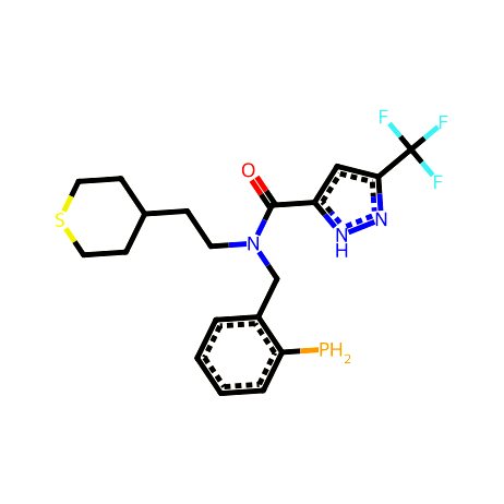 O=C(c1cc(C(F)(F)F)n[nH]1)N(CCC1CCSCC1)Cc1ccccc1P